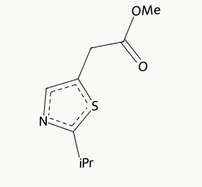 COC(=O)Cc1cnc(C(C)C)s1